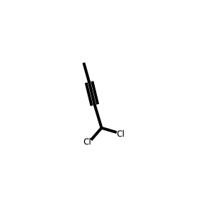 CC#CC(Cl)Cl